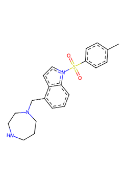 Cc1ccc(S(=O)(=O)n2ccc3c(CN4CCCNCC4)cccc32)cc1